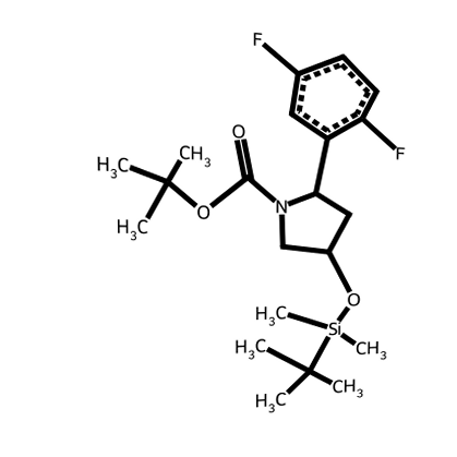 CC(C)(C)OC(=O)N1CC(O[Si](C)(C)C(C)(C)C)CC1c1cc(F)ccc1F